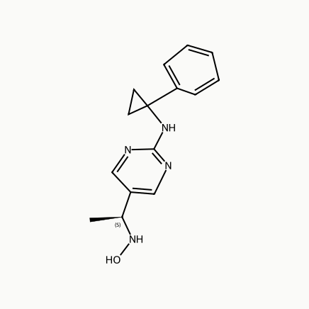 C[C@H](NO)c1cnc(NC2(c3ccccc3)CC2)nc1